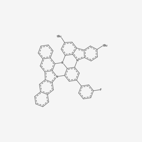 CC(C)(C)c1ccc2c(c1)c1cc(C(C)(C)C)cc3c1n2-c1cc(-c2cccc(F)c2)cc2c1B3c1c3ccccc3cc3c4cc5ccccc5cc4n-2c13